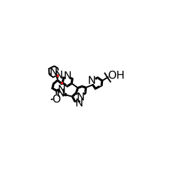 COc1ccc(CN2C3CC2CN(c2ccc(-c4cc(-c5ccc(C(C)(C)O)cn5)cn5ncc(C#N)c45)cn2)C3)cn1